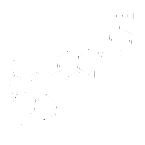 CCOC(=O)c1cccc(NCc2ccc(OCc3c(-c4ccccc4OC(F)(F)F)noc3C(C)C)cc2Cl)c1